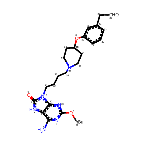 CCCCOc1nc(N)c2[nH]c(=O)n(CCCCN3CCC(Oc4cccc(CC=O)c4)CC3)c2n1